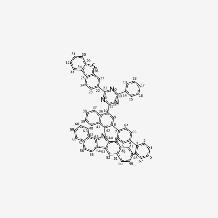 c1ccc(-c2ccc(-c3cc(-c4nc(-c5ccccc5)nc(-c5ccc6c(c5)sc5ccccc56)n4)c4ccccc4c3-n3c4cc5ccccc5cc4c4ccc5ccccc5c43)cc2)cc1